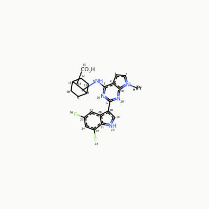 CC(C)n1ccc2c(NC3C4CCC(CC4)C3C(=O)O)nc(-c3c[nH]c4c(F)cc(F)cc34)nc21